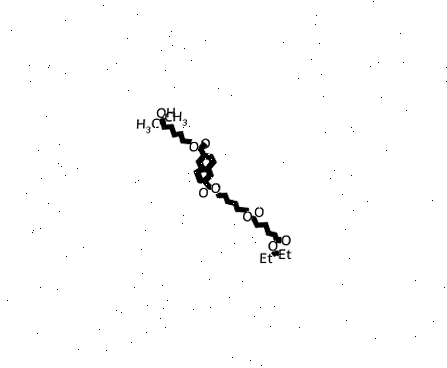 CCC(CC)OC(=O)CCCCC(=O)OCCCCCCOC(=O)c1ccc2cc(C(=O)OCCCCCCC(C)(C)O)ccc2c1